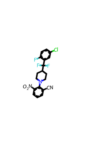 N#Cc1cccc([N+](=O)[O-])c1N1CCC(C(F)(F)c2cc(Cl)ccc2F)CC1